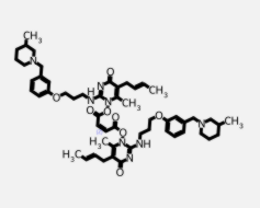 CC=CCc1c(C)n(OC(=O)/C=C\C(=O)On2c(NCCCOc3cccc(CN4CCCC(C)C4)c3)nc(=O)c(CC=CC)c2C)c(NCCCOc2cccc(CN3CCCC(C)C3)c2)nc1=O